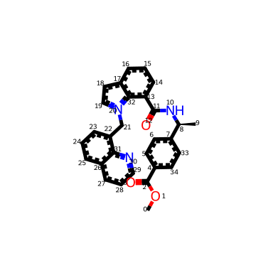 COC(=O)c1ccc([C@H](C)NC(=O)c2cccc3ccn(Cc4cccc5cccnc45)c23)cc1